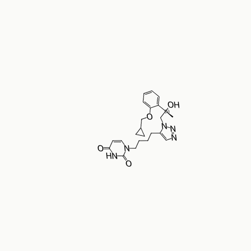 C[C@@](O)(Cn1nncc1CCCCn1ccc(=O)[nH]c1=O)c1ccccc1OCC1CC1